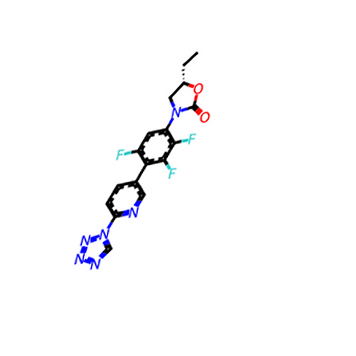 CC[C@H]1CN(c2cc(F)c(-c3ccc(-n4cnnn4)nc3)c(F)c2F)C(=O)O1